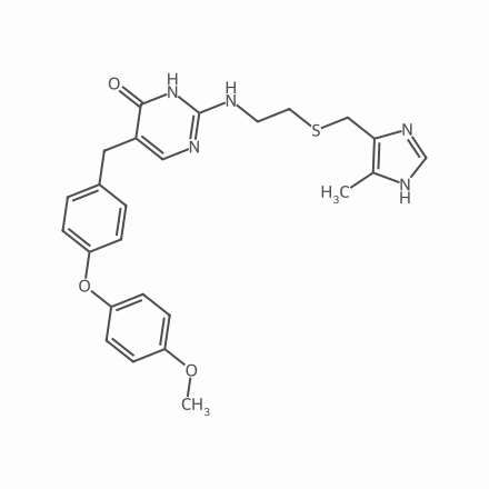 COc1ccc(Oc2ccc(Cc3cnc(NCCSCc4nc[nH]c4C)[nH]c3=O)cc2)cc1